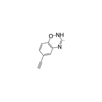 C#Cc1ccc2c(c1)N=[C]NO2